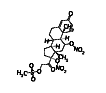 C[C@]12C=CC(=O)C=C1CC[C@@H]1[C@@H]2C(O[N+](=O)[O-])C[C@@]2(C)[C@H]1CC[C@]2(O[N+](=O)[O-])C(=O)COS(C)(=O)=O